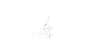 CCCCC1=C[C@H]2[C@H](C1)C[C@]2(CC(=O)O)C[N+](=O)[O-]